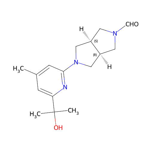 Cc1cc(N2C[C@H]3CN(C=O)C[C@H]3C2)nc(C(C)(C)O)c1